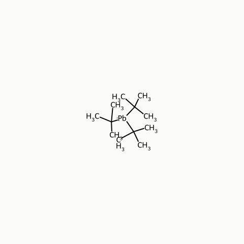 C[C](C)(C)[Pb]([C](C)(C)C)[C](C)(C)C